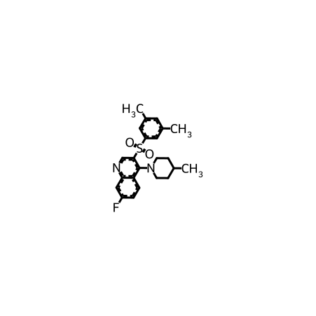 Cc1cc(C)cc(S(=O)(=O)c2cnc3cc(F)ccc3c2N2CCC(C)CC2)c1